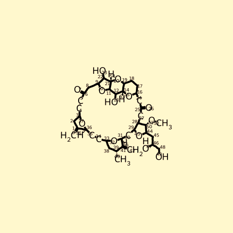 C=C1CC2CCC(=O)CC3OC4C(O)[C@H]5OC(CCC5O[C@H]4C3O)CC(=O)CC3C(C[C@@H]4OC(CC[C@@H]1O2)C[C@@H](C)C4=C)OC(CC(O)CO)[C@@H]3OC